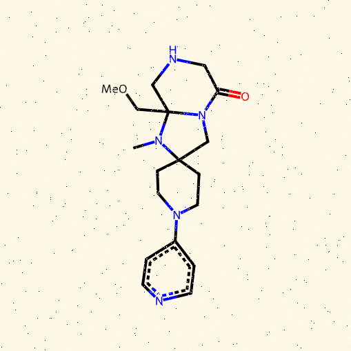 COCC12CNCC(=O)N1CC1(CCN(c3ccncc3)CC1)N2C